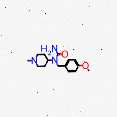 COc1ccc(CN(C(N)=O)C2CCN(C)CC2)cc1